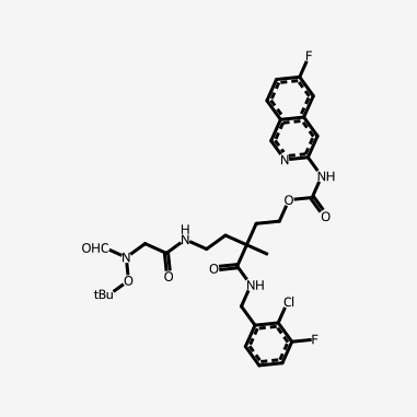 CC(C)(C)ON(C=O)CC(=O)NCCC(C)(CCOC(=O)Nc1cc2cc(F)ccc2cn1)C(=O)NCc1cccc(F)c1Cl